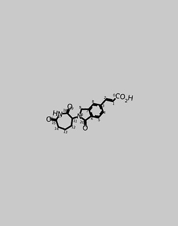 O=C(O)C=Cc1ccc2c(c1)CN(C1CCCC(=O)NC1=O)C2=O